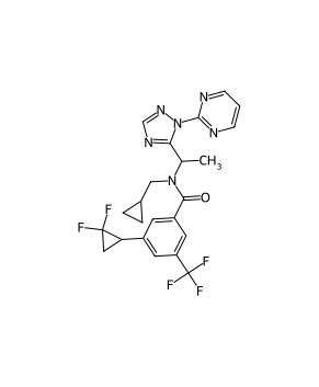 CC(c1ncnn1-c1ncccn1)N(CC1CC1)C(=O)c1cc(C2CC2(F)F)cc(C(F)(F)F)c1